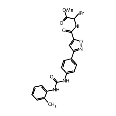 COC(=O)C(NC(=O)c1cc(-c2ccc(NC(=O)Nc3ccccc3C)cc2)no1)C(C)C